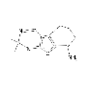 CC1(C)N=Cc2c3c(oc2=N1)=C(N)CCC3